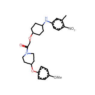 COc1ccc(OC2CCN(C(=O)COC3CCC(Nc4ccc([N+](=O)[O-])c(C)c4)CC3)CC2)cc1